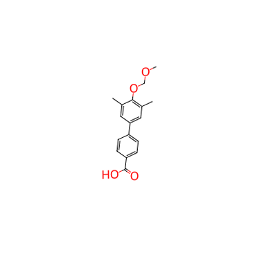 COCOc1c(C)cc(-c2ccc(C(=O)O)cc2)cc1C